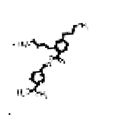 CCCCCc1cc(CCCC)ccc1C(=O)ON=Cc1ccc(C(C)C)cc1